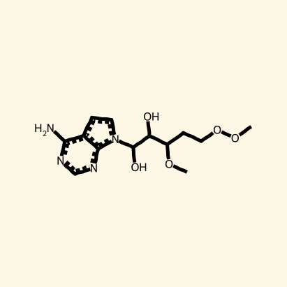 COOCCC(OC)C(O)C(O)n1ccc2c(N)ncnc21